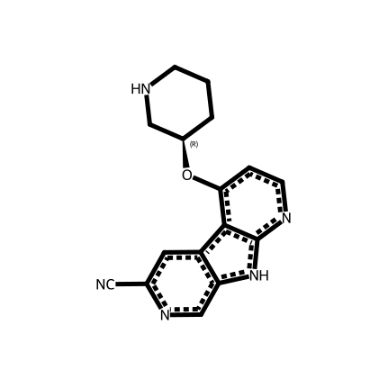 N#Cc1cc2c(cn1)[nH]c1nccc(O[C@@H]3CCCNC3)c12